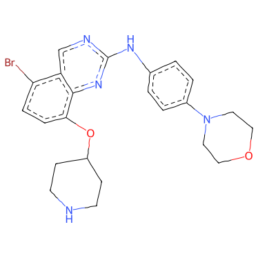 Brc1ccc(OC2CCNCC2)c2nc(Nc3ccc(N4CCOCC4)cc3)ncc12